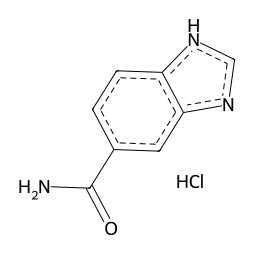 Cl.NC(=O)c1ccc2[nH]cnc2c1